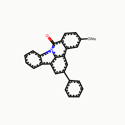 COc1ccc2c(=O)n3c4ccccc4c4cc(-c5ccccc5)cc(c2c1)c43